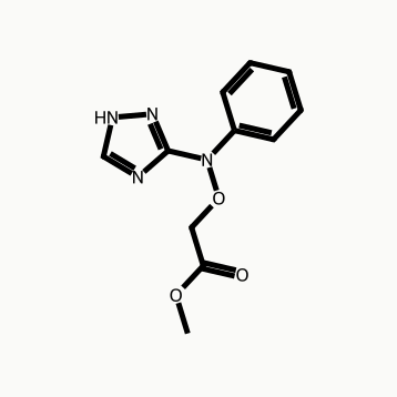 COC(=O)CON(c1ccccc1)c1nc[nH]n1